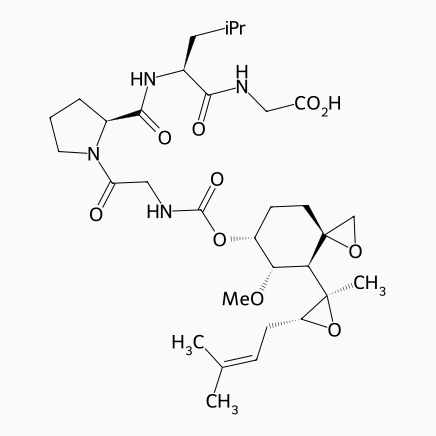 CO[C@@H]1[C@H](OC(=O)NCC(=O)N2CCC[C@H]2C(=O)N[C@@H](CC(C)C)C(=O)NCC(=O)O)CC[C@]2(CO2)[C@H]1[C@@]1(C)O[C@@H]1CC=C(C)C